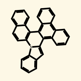 c1ccc2c(c1)ccc1c2c2c3ccccc3c3ccccc3c2c2cc3ccccc3n12